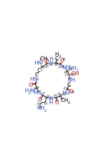 CN[C@H]1CCNC(=O)[C@H](N)NC(=O)[C@H](CCN)NC(=O)[C@H](C)NC(=O)CNC(O)[C@@H](N)NC(=O)[C@H](C)NC1=O